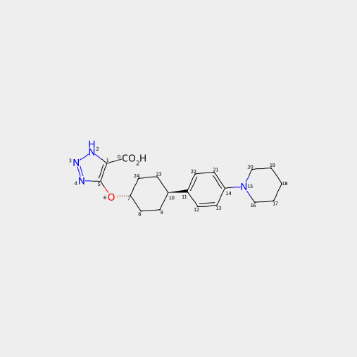 O=C(O)c1[nH]nnc1O[C@H]1CC[C@H](c2ccc(N3CCCCC3)cc2)CC1